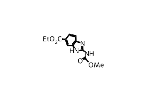 CCOC(=O)c1ccc2nc(NC(=O)OC)[nH]c2c1